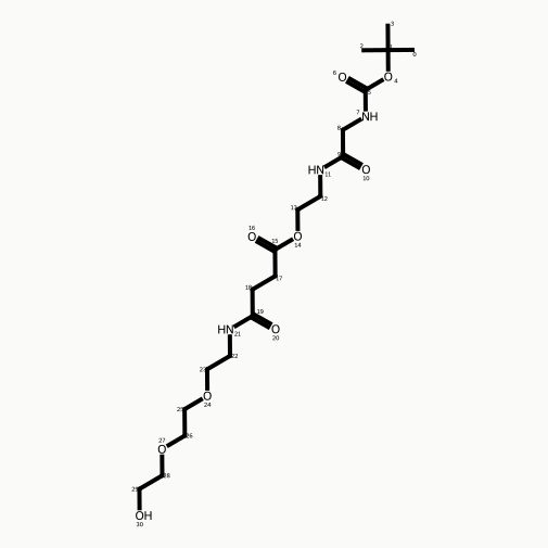 CC(C)(C)OC(=O)NCC(=O)NCCOC(=O)CCC(=O)NCCOCCOCCO